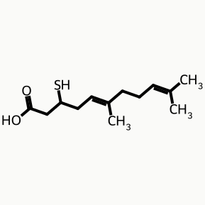 CC(C)=CCC/C(C)=C/CC(S)CC(=O)O